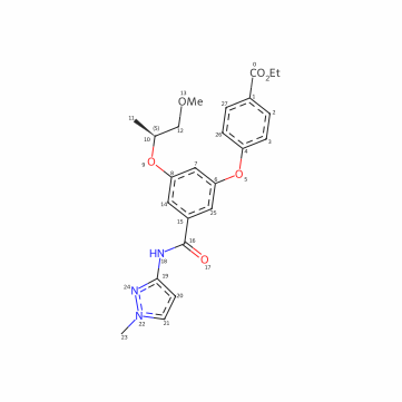 CCOC(=O)c1ccc(Oc2cc(O[C@@H](C)COC)cc(C(=O)Nc3ccn(C)n3)c2)cc1